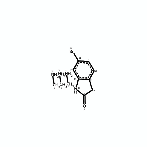 CN.CN.CN.O=C1Cc2ccc(Br)cc2N1